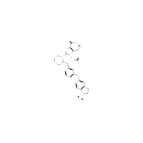 CC1(C)CC2=C(SC(N3CCOCC3Cc3cccc(Nc4ccc5c(c4)CCN5S(C)(=O)=O)c3)N2OC(=O)C(F)(F)F)C(=O)N1